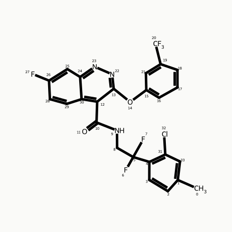 Cc1ccc(C(F)(F)CNC(=O)c2c(Oc3cccc(C(F)(F)F)c3)nnc3cc(F)ccc23)c(Cl)c1